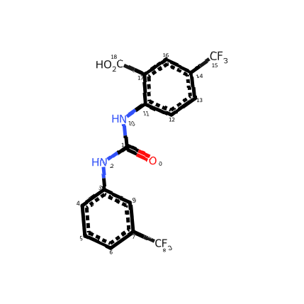 O=C(Nc1cccc(C(F)(F)F)c1)Nc1ccc(C(F)(F)F)cc1C(=O)O